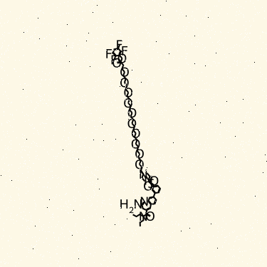 CCCN(CCC)C(=O)C1=Cc2ccc(-c3cccc(S(=O)(=O)N4CCN(CCOCCOCCOCCOCCOCCOCCOCCOCCOCCOCCC(=O)Oc5c(F)c(F)cc(F)c5F)CC4)c3)cc2N=C(N)C1